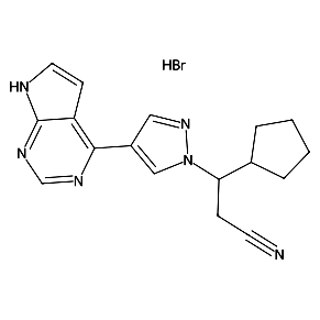 Br.N#CCC(C1CCCC1)n1cc(-c2ncnc3[nH]ccc23)cn1